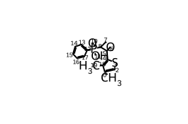 Cc1csc(C2OCC2P(=O)(O)c2ccccc2)c1C